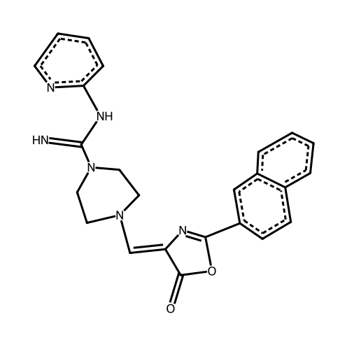 N=C(Nc1ccccn1)N1CCN(C=C2N=C(c3ccc4ccccc4c3)OC2=O)CC1